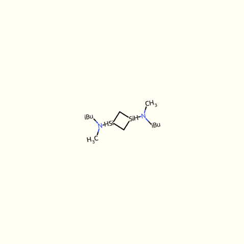 CCC(C)N(C)[SiH]1C[SiH](N(C)C(C)CC)C1